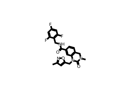 Cc1cc(CN2C(=O)N(C)Cc3ccc(C(=O)NCc4c(F)cc(F)cc4F)cc32)on1